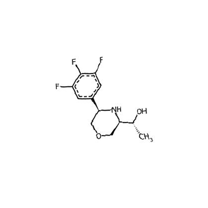 C[C@@H](O)[C@H]1COC[C@@H](c2cc(F)c(F)c(F)c2)N1